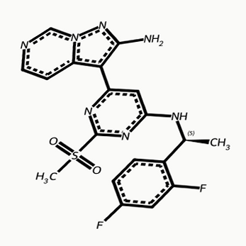 C[C@H](Nc1cc(-c2c(N)nn3cnccc23)nc(S(C)(=O)=O)n1)c1ccc(F)cc1F